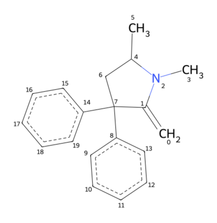 C=C1N(C)C(C)CC1(c1ccccc1)c1ccccc1